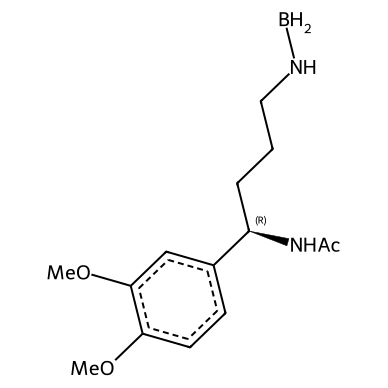 BNCCC[C@@H](NC(C)=O)c1ccc(OC)c(OC)c1